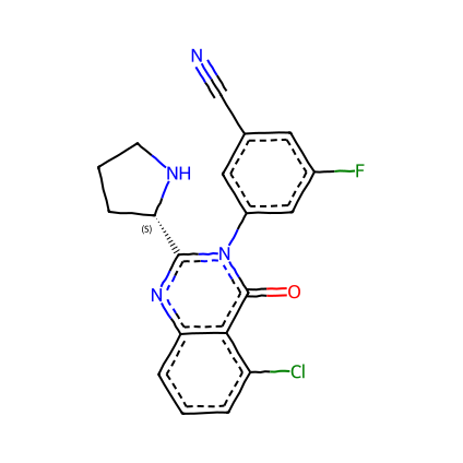 N#Cc1cc(F)cc(-n2c([C@@H]3CCCN3)nc3cccc(Cl)c3c2=O)c1